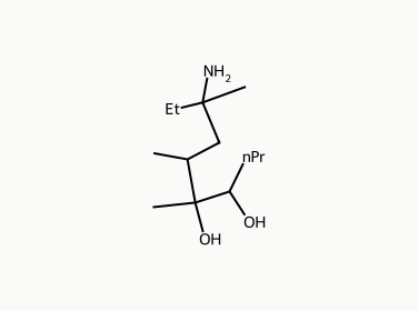 CCCC(O)C(C)(O)C(C)CC(C)(N)CC